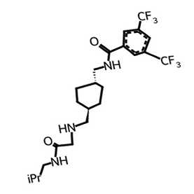 CC(C)CNC(=O)CNC[C@H]1CC[C@H](CNC(=O)c2cc(C(F)(F)F)cc(C(F)(F)F)c2)CC1